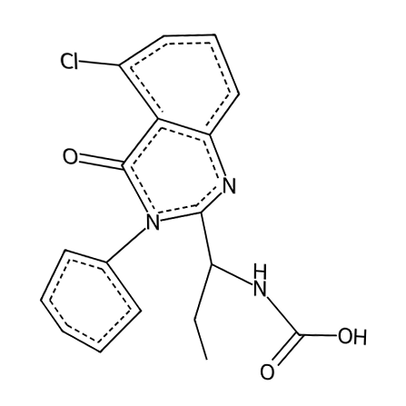 CCC(NC(=O)O)c1nc2cccc(Cl)c2c(=O)n1-c1ccccc1